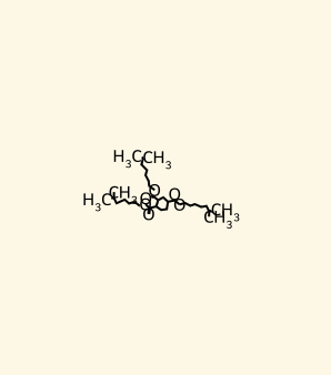 CC(C)CCCCCOC(=O)C1CCC(C(=O)OCCCCCC(C)C)C(C(=O)OCCCCCC(C)C)C1